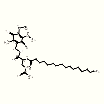 CCCCCCCCCCCCCCCC(=O)OC(COC(C)=O)C(=O)OCC1=C(C)C(=O)C(OC)=C(OC)C1=O